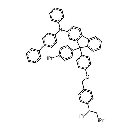 CC(C)CC(c1ccc(COc2ccc(C3(c4ccc(C(C)C)cc4)c4ccccc4-c4ccc(N(c5ccccc5)c5ccc(-c6ccccc6)cc5)cc43)cc2)cc1)C(C)C